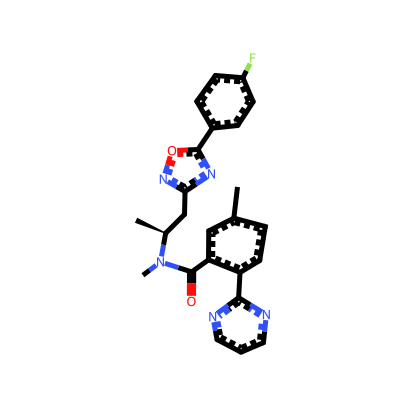 Cc1ccc(-c2ncccn2)c(C(=O)N(C)[C@@H](C)Cc2noc(-c3ccc(F)cc3)n2)c1